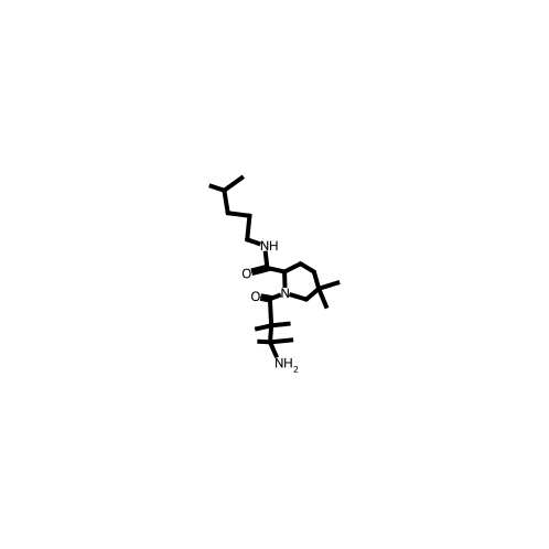 CC(C)CCCNC(=O)C1CCC(C)(C)CN1C(=O)C(C)(C)C(C)(C)N